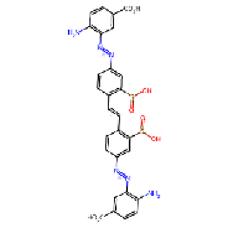 Nc1ccc(C(=O)O)cc1/N=N/c1ccc(/C=C/c2ccc(/N=N/c3cc(C(=O)O)ccc3N)cc2S(=O)O)c(S(=O)O)c1